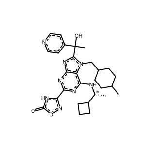 CC1CCC(Cn2c(C(C)(O)c3ccncc3)nc3nc(-c4noc(=O)[nH]4)nc(N[C@H](C)C4CCC4)c32)CC1